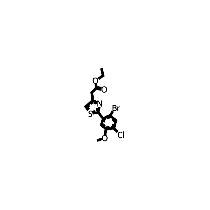 CCOC(=O)Cc1csc(-c2cc(OC)c(Cl)cc2Br)n1